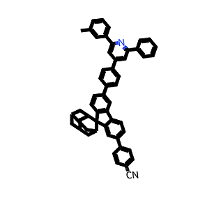 Cc1cccc(-c2cc(-c3ccc(-c4ccc5c(c4)-c4ccc(-c6ccc(C#N)cc6)cc4C54C5CC6CC(C5)CC4C6)cc3)cc(-c3ccccc3)n2)c1